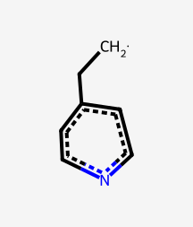 [CH2]Cc1ccncc1